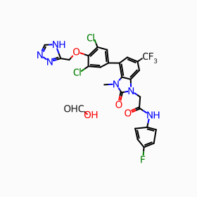 Cn1c(=O)n(CC(=O)Nc2ccc(F)cc2)c2cc(C(F)(F)F)cc(-c3cc(Cl)c(OCc4nnc[nH]4)c(Cl)c3)c21.O=CO